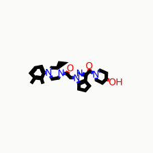 Cc1cccc(N2CCN(C(=O)Cn3nc(C(=O)N4CCC(O)CC4)c4c3CCC4)C3(CC3)C2)c1C